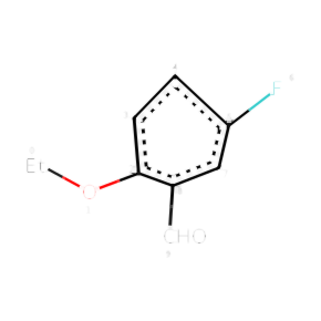 CCOc1ccc(F)cc1C=O